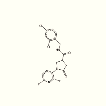 O=C(NCc1ccc(Cl)cc1Cl)C1CC(=O)N(c2ccc(F)cc2F)C1